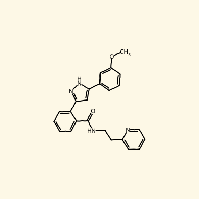 COc1cccc(-c2cc(-c3ccccc3C(=O)NCCc3ccccn3)n[nH]2)c1